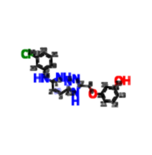 N=C(/C=C\c1nnc(COc2cccc(O)c2)[nH]1)Nc1cccc(Cl)c1